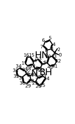 CC1(C)c2ccccc2Nc2c(-c3cc4ccccc4c4c3Bc3cccc5c6ccc7ccccc7c6n-4c35)cccc21